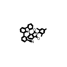 Cc1cc(C)c(N2C(=O)c3cccc(-n4c5ccccc5c5cccc(-c6cccc(C#N)c6)c54)c3C2=O)c(C)c1